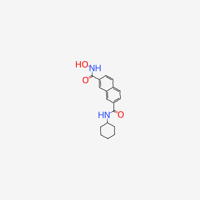 O=C(NO)c1ccc2ccc(C(=O)NC3CCCCC3)cc2c1